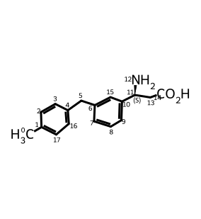 Cc1ccc(Cc2cccc([C@@H](N)CC(=O)O)c2)cc1